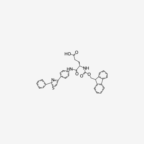 O=C(O)CC[C@@H](NC(=O)OCC1c2ccccc2-c2ccccc21)C(=O)Nc1ccc(-c2csc(-c3ccccc3)n2)cc1